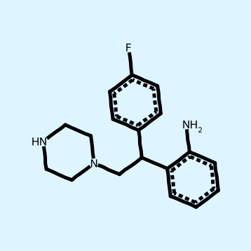 Nc1ccccc1C(CN1CCNCC1)c1ccc(F)cc1